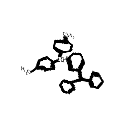 Cc1ccc(Nc2ccc(C)cc2)cc1.c1ccc(C(c2ccccc2)c2ccccc2)cc1